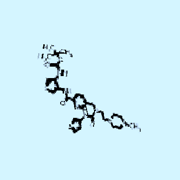 CN1CCN(CCN(Cc2ccc(C(=O)Nc3cscc3NC(=O)OC(C)(C)C)nc2)C(=O)Nc2ccsc2)CC1